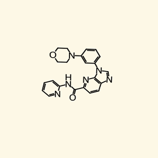 O=C(Nc1ccccn1)c1ccc2ncn(-c3cccc(N4CCOCC4)c3)c2n1